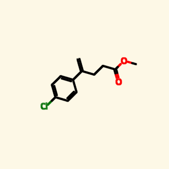 C=C(CCC(=O)OC)c1ccc(Cl)cc1